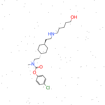 CN(CC[C@H]1CC[C@H](CCNCCCCCO)CC1)C(=O)Oc1ccc(Cl)cc1